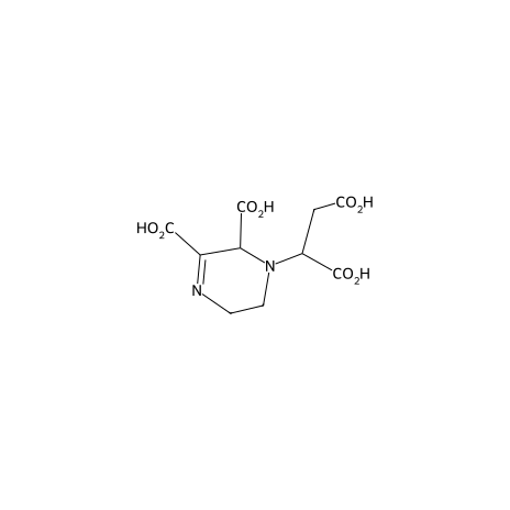 O=C(O)CC(C(=O)O)N1CCN=C(C(=O)O)C1C(=O)O